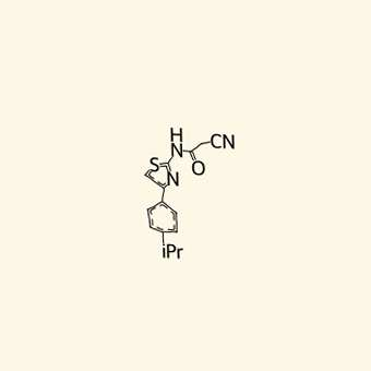 CC(C)c1ccc(-c2csc(NC(=O)CC#N)n2)cc1